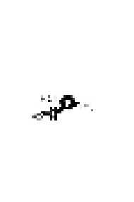 COCCNCc1cccc(N)c1.Cl